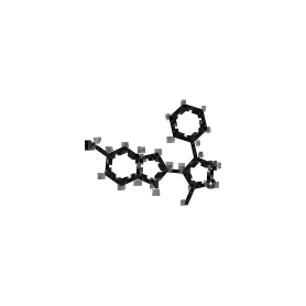 Cc1onc(-c2ccccc2)c1-c1cn2cc(Br)ccc2n1